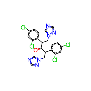 O=C(C(Cn1cncn1)c1ccc(Cl)cc1Cl)C(Cn1cncn1)c1ccc(Cl)cc1Cl